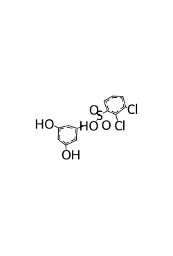 Cc1cc(O)cc(O)c1.O=S(=O)(O)c1cccc(Cl)c1Cl